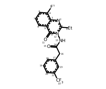 CCc1nc2c(F)cccc2c(=O)n1NC(=O)Cc1cccc(C(F)(F)F)c1